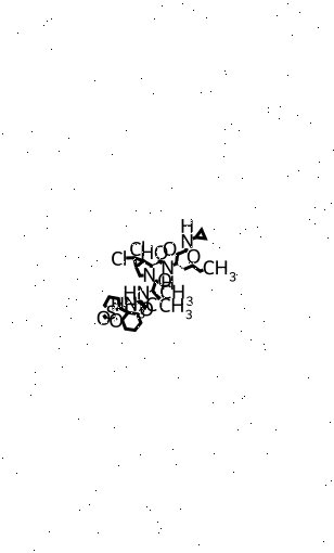 CCCC[C@H](NC(=O)[C@@H]1[C@@H]2C(CN1C(=O)[C@@H](NC(=O)NC1(C3CCCS3(=O)=O)CCCCC1)C(C)(C)C)C2(Cl)Cl)C(=O)C(=O)NC1CC1